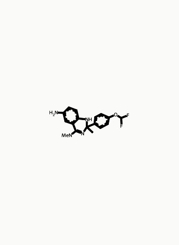 CNC1=NC(C)(c2ccc(OC(F)F)cc2)Nc2ccc(N)cc21